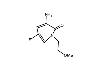 COCCn1cc(F)cc(N)c1=O